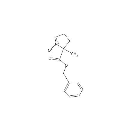 CC1(C(=O)OCc2ccccc2)CCC=[N+]1[O-]